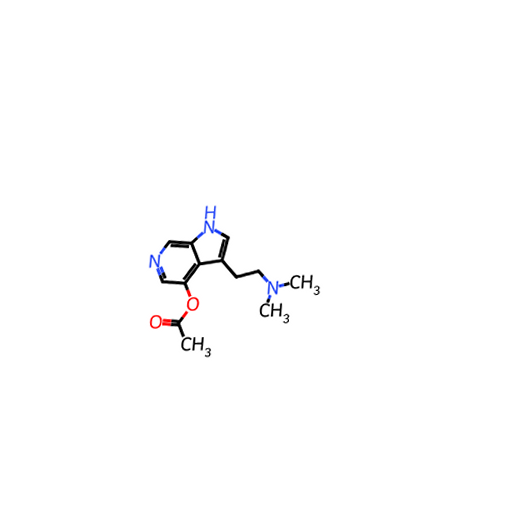 CC(=O)Oc1cncc2[nH]cc(CCN(C)C)c12